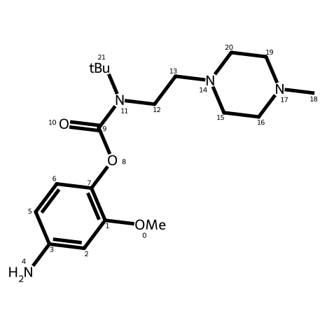 COc1cc(N)ccc1OC(=O)N(CCN1CCN(C)CC1)C(C)(C)C